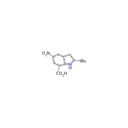 CC(C)(C)c1cc2cc([N+](=O)[O-])cc(C(=O)O)c2[nH]1